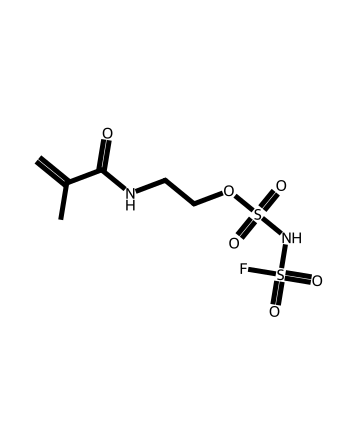 C=C(C)C(=O)NCCOS(=O)(=O)NS(=O)(=O)F